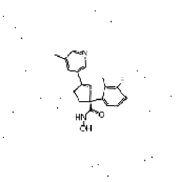 Cc1cncc(C2=C[C@](C(=O)NO)(c3cccc(F)c3C)CC2)c1